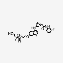 CC(C)(CCO)NCCCOc1ccc2c(Nc3cnn(CC(=O)Nc4cccc(F)c4)c3)ncnc2c1